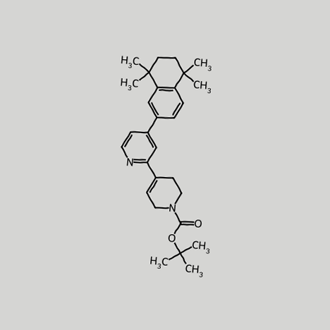 CC(C)(C)OC(=O)N1CC=C(c2cc(-c3ccc4c(c3)C(C)(C)CCC4(C)C)ccn2)CC1